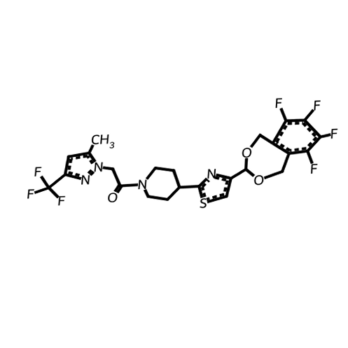 Cc1cc(C(F)(F)F)nn1CC(=O)N1CCC(c2nc(C3OCc4c(F)c(F)c(F)c(F)c4CO3)cs2)CC1